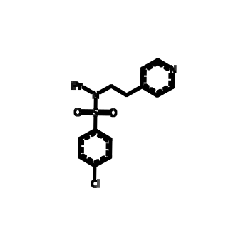 CC(C)N(CCc1ccncc1)S(=O)(=O)c1ccc(Cl)cc1